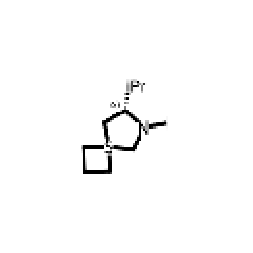 CC(C)[C@H]1CS2(CCC2)CN1I